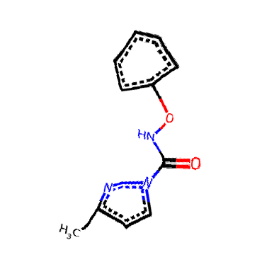 Cc1ccn(C(=O)NOc2ccccc2)n1